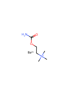 C[N+](C)(C)CCOC(N)=O.[Ba+2]